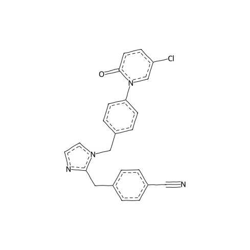 N#Cc1ccc(Cc2nccn2Cc2ccc(-n3cc(Cl)ccc3=O)cc2)cc1